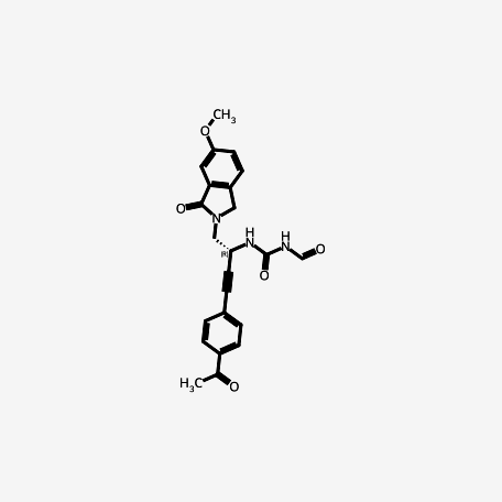 COc1ccc2c(c1)C(=O)N(C[C@@H](C#Cc1ccc(C(C)=O)cc1)NC(=O)NC=O)C2